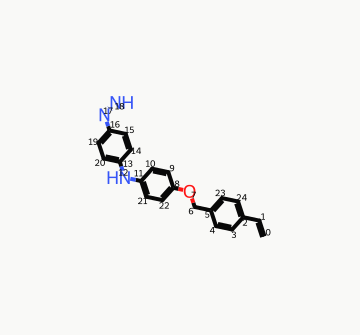 C=Cc1ccc(COc2ccc(Nc3ccc(N=N)cc3)cc2)cc1